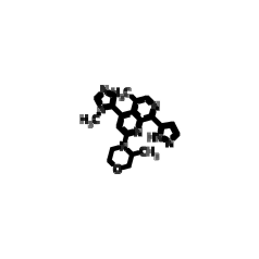 Cc1cnc(-c2ccn[nH]2)c2nc(N3CCOCC3C)cc(-c3cncn3C)c12